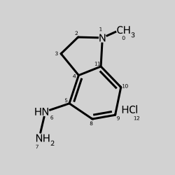 CN1CCc2c(NN)cccc21.Cl